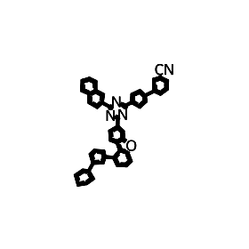 N#Cc1cccc(-c2ccc(-c3nc(-c4ccc5ccccc5c4)nc(-c4ccc5c(c4)oc4cccc(-c6cccc(-c7ccccc7)c6)c45)n3)cc2)c1